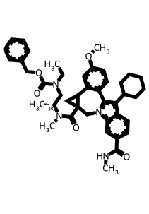 CCN(C[C@@H](C)N(C)C(=O)C12CC1c1cc(OC)ccc1-c1c(C3CCCCC3)c3ccc(C(=O)NC)cc3n1C2)C(=O)OCc1ccccc1